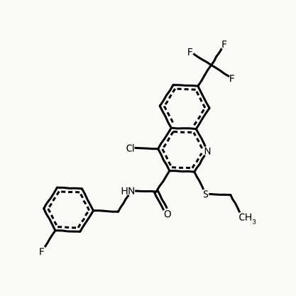 CCSc1nc2cc(C(F)(F)F)ccc2c(Cl)c1C(=O)NCc1cccc(F)c1